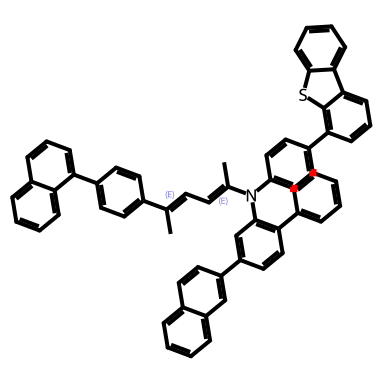 C/C(=C\C=C(/C)N(c1ccc(-c2cccc3c2sc2ccccc23)cc1)c1cc(-c2ccc3ccccc3c2)ccc1-c1ccccc1)c1ccc(-c2cccc3ccccc23)cc1